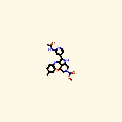 COC(=O)N1CC(=O)c2c([nH]c(-c3ccnc(NC(C)=O)c3)c2Nc2ccc(C)cc2)C1